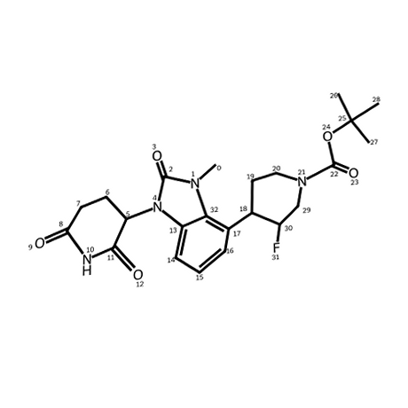 Cn1c(=O)n(C2CCC(=O)NC2=O)c2cccc(C3CCN(C(=O)OC(C)(C)C)CC3F)c21